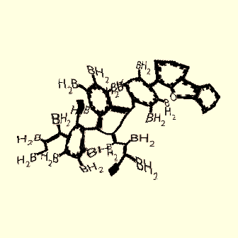 BC/C(B)=C(/B)c1c(B)c(B)c(B)c(C2=c3c(B)c(B)c(B)c(B)c3=C(c3c(B)c(B)c(-c4cccc5c4oc4ccccc45)c(B)c3B)C/C2=C(B)\C(B)=C(\B)C#C)c1C#C